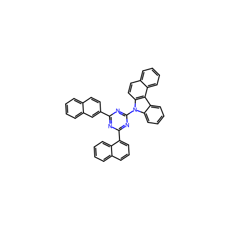 c1ccc2cc(-c3nc(-c4cccc5ccccc45)nc(-n4c5ccccc5c5c6ccccc6ccc54)n3)ccc2c1